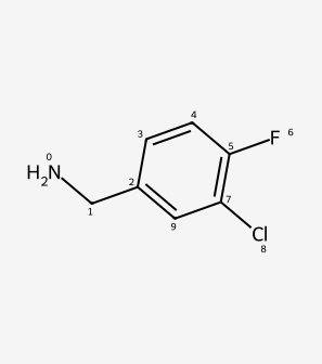 NCc1ccc(F)c(Cl)c1